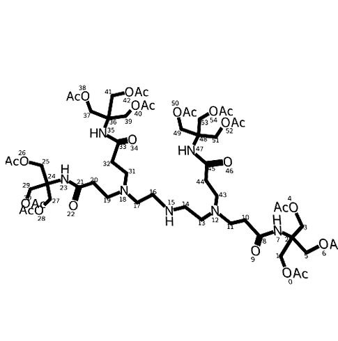 CC(=O)OCC(COC(C)=O)(COC(C)=O)NC(=O)CCN(CCNCCN(CCC(=O)NC(COC(C)=O)(COC(C)=O)COC(C)=O)CCC(=O)NC(COC(C)=O)(COC(C)=O)COC(C)=O)CCC(=O)NC(COC(C)=O)(COC(C)=O)COC(C)=O